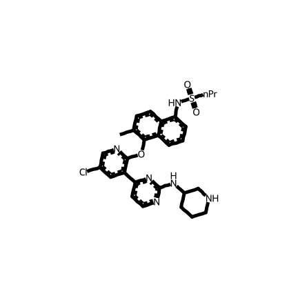 CCCS(=O)(=O)Nc1cccc2c(Oc3ncc(Cl)cc3-c3ccnc(NC4CCCNC4)n3)c(C)ccc12